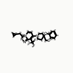 FC(F)(F)c1c(N2CCC3(CC2)COc2ccccc2O3)ccn2c(CC3CC3)nnc12